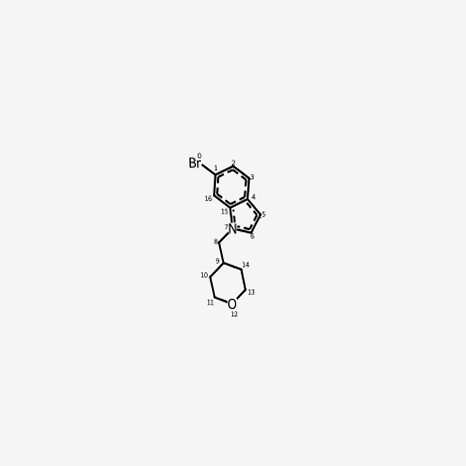 Brc1ccc2[c]cn(CC3CCOCC3)c2c1